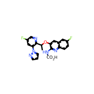 CC(Oc1cc2cc(F)ccc2nc1NC(=O)O)c1ncc(F)cc1-n1cccn1